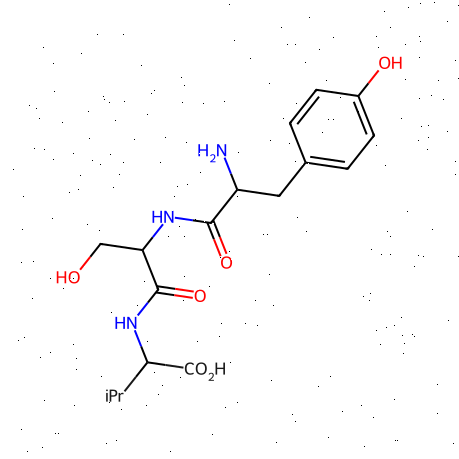 CC(C)C(NC(=O)C(CO)NC(=O)C(N)Cc1ccc(O)cc1)C(=O)O